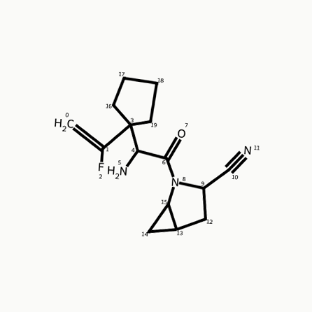 C=C(F)C1(C(N)C(=O)N2C(C#N)CC3CC32)CCCC1